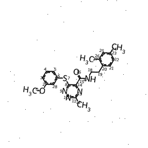 COc1cccc(Sc2nnc(C)nc2C(=O)NCCc2ccc(C)cc2C)c1